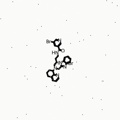 Br.O=C(NCCCCN(Cc1nc2ccccc2[nH]1)C1CCCc2cccnc21)c1cncc(Br)c1